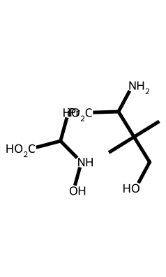 CC(C)(CO)C(N)C(=O)O.CC(C)C(NO)C(=O)O